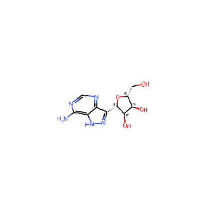 Nc1ncnc2c([C@@H]3O[C@H](CO)[C@@H](O)[C@H]3O)n[nH]c12